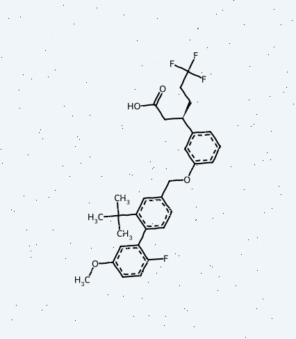 COc1ccc(F)c(-c2ccc(COc3cccc([C@H](CCC(F)(F)F)CC(=O)O)c3)cc2C(C)(C)C)c1